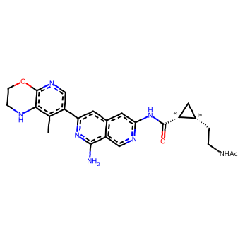 CC(=O)NCC[C@H]1C[C@H]1C(=O)Nc1cc2cc(-c3cnc4c(c3C)NCCO4)nc(N)c2cn1